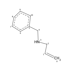 C=C[CH]NCc1ccccc1